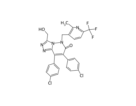 Cc1nc(C(F)(F)F)ccc1Cn1c(=O)c(-c2ccc(Cl)cc2)c(-c2ccc(Cl)cc2)c2nnc(CO)n21